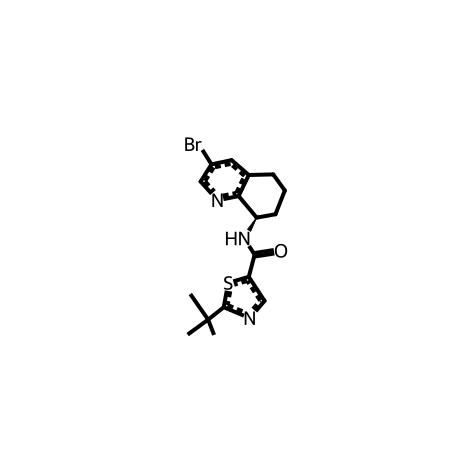 CC(C)(C)c1ncc(C(=O)N[C@@H]2CCCc3cc(Br)cnc32)s1